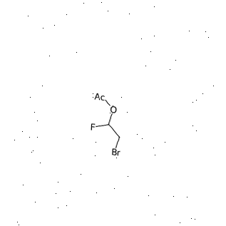 CC(=O)OC(F)CBr